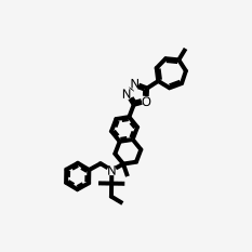 CCC(C)(C)N(Cc1ccccc1)C1(C)CCc2cc(-c3nnc(C4=CC=C(C)CC=C4)o3)ccc2C1